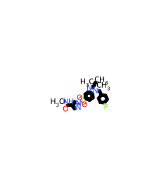 CNC(=O)c1cnn(S(=O)(=O)c2ccc3c(c2)nc(C(C)(C)C)n3CC2CCC(F)CC2)c1